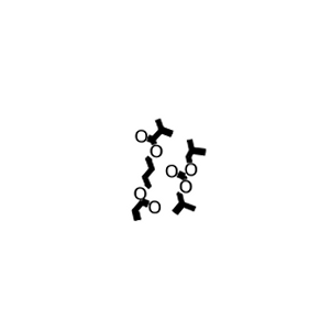 C=C(C)COC(=O)OCC(=C)C.C=CC(=O)OCCCCOC(=O)C(=C)C